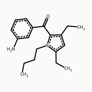 CCCCn1c(CC)cc(CC)c1C(=O)c1cccc(N)c1